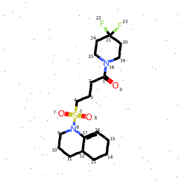 O=C(CCCS(=O)(=O)N1CCCC2CCCC=C21)N1CCC(F)(F)CC1